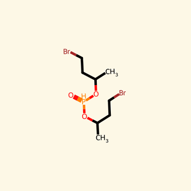 CC(CCBr)O[PH](=O)OC(C)CCBr